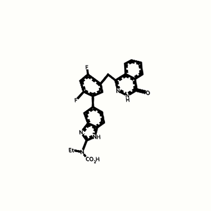 CCN(C(=O)O)c1nc2cc(-c3cc(Cc4n[nH]c(=O)c5ccccc45)c(F)cc3F)ccc2[nH]1